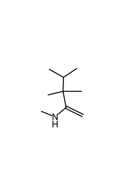 C=C(NC)C(C)(C)C(C)C